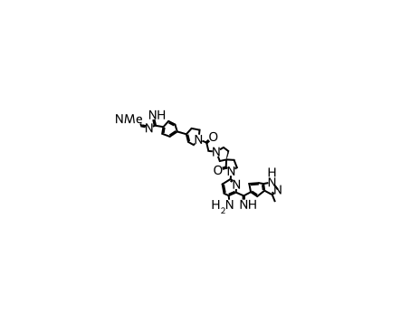 CN/C=N\C(=N)c1ccc(C2=CCN(C(=O)CN3CC[C@]4(CCN(c5ccc(N)c(C(=N)c6ccc7[nH]nc(C)c7c6)n5)C4=O)C3)CC2)cc1